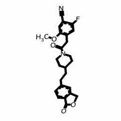 COc1cc(C#N)c(F)cc1CC(=O)N1CCC(CCc2ccc3c(c2)COC3=O)CC1